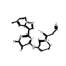 Cc1ccn2ncc(-c3nc(Cl)c(F)c(NC4CCCN(C(=O)CC#N)C4)n3)c2c1